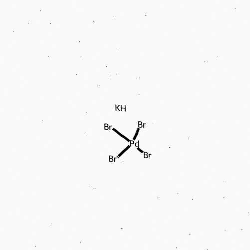 [Br][Pd]([Br])([Br])[Br].[KH]